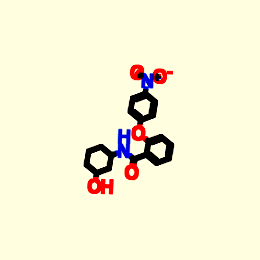 O=C(NC1CCCC(O)C1)c1ccccc1Oc1ccc([N+](=O)[O-])cc1